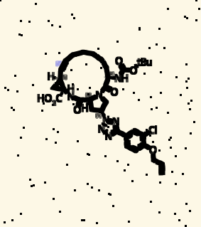 C=CCOc1ccc(-c2nnn([C@H]3C[C@H]4C(=O)N[C@@]5(C(=O)O)C[C@H]5/C=C\CCCCC[C@@H](NC(=O)OC(C)(C)C)C(=O)N4C3)n2)cc1Cl